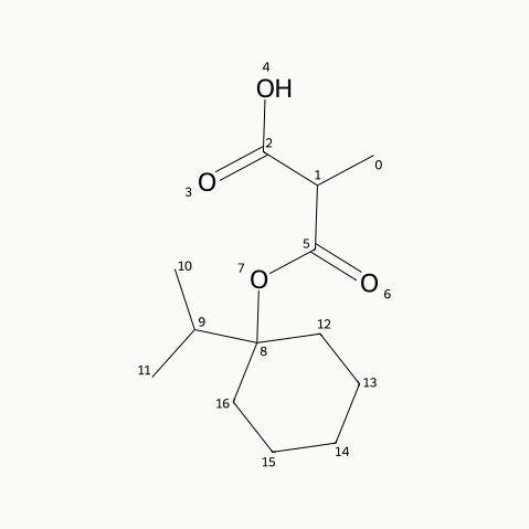 CC(C(=O)O)C(=O)OC1(C(C)C)CCCCC1